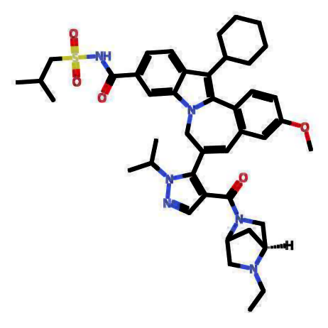 CCN1CC2C[C@H]1CN2C(=O)c1cnn(C(C)C)c1C1=Cc2cc(OC)ccc2-c2c(C3CCCCC3)c3ccc(C(=O)NS(=O)(=O)CC(C)C)cc3n2C1